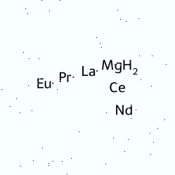 [Ce].[Eu].[La].[MgH2].[Nd].[Pr]